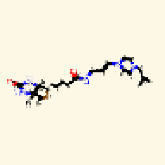 CC(C)CN1CCN(CCCNC(=O)CCCC[C@@H]2SC[C@@H]3NC(=O)N[C@@H]32)CC1